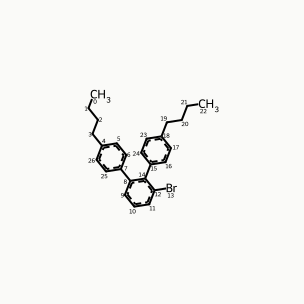 CCCCc1ccc(-c2cccc(Br)c2-c2ccc(CCCC)cc2)cc1